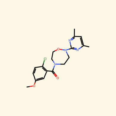 COc1ccc(Cl)c(C(=O)N2CCON(c3nc(C)cc(C)n3)CC2)c1